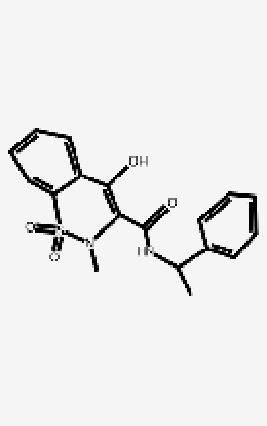 CC(NC(=O)C1=C(O)c2ccccc2S(=O)(=O)N1C)c1ccccc1